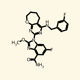 COc1nc2c(C(N)=O)cc(F)cc2n1-c1nc(NCc2cccc(F)c2)c2c(n1)OCCCC2